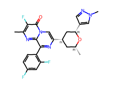 Cc1nc2c(-c3ccc(F)cc3F)nc([C@H]3C[C@@H](C)O[C@@H](c4cnn(C)c4)C3)cn2c(=O)c1F